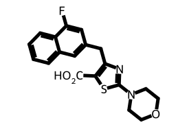 O=C(O)c1sc(N2CCOCC2)nc1Cc1cc(F)c2ccccc2c1